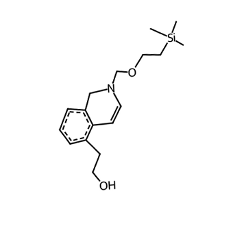 C[Si](C)(C)CCOCN1C=Cc2c(CCO)cccc2C1